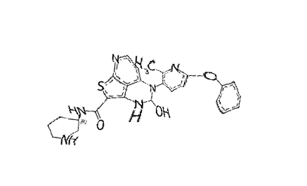 Cc1nc(Oc2ccccc2)ccc1N1c2ccnc3sc(C(=O)N[C@@H]4CCCNC4)c(c23)NC1O